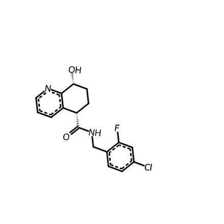 O=C(NCc1ccc(Cl)cc1F)[C@H]1CC[C@@H](O)c2ncccc21